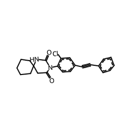 O=C1CC2(CCCCC2)NC(=O)N1c1ccc(C#Cc2ccccc2)cc1Cl